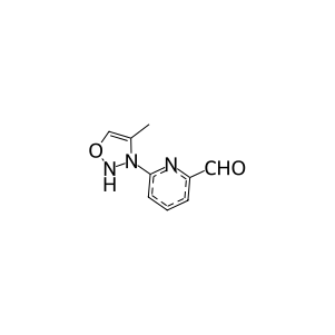 CC1=CONN1c1cccc(C=O)n1